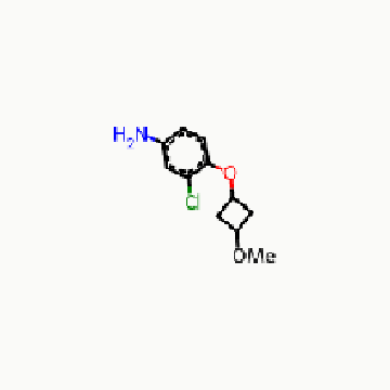 COC1CC(Oc2ccc(N)cc2Cl)C1